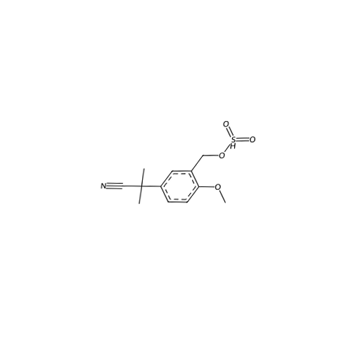 COc1ccc(C(C)(C)C#N)cc1CO[SH](=O)=O